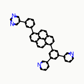 c1cncc(-c2cc(-c3cccnc3)cc(-c3ccc4ccc5c(-c6cccc(-c7cncnc7)c6)ccc6ccc3c4c65)c2)c1